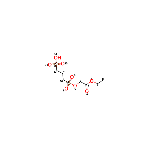 CCOC(=O)COS(=O)(=O)CCCS(=O)(=O)O